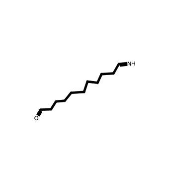 N=CCCCCCCCCC[C]=O